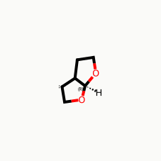 [C]1CO[C@@H]2OCCC12